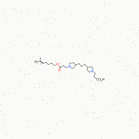 CC/C(C)=C/CCCCOC(=O)CCN1CCC(CCCC2CCN(CCC(=O)O)CC2)CC1